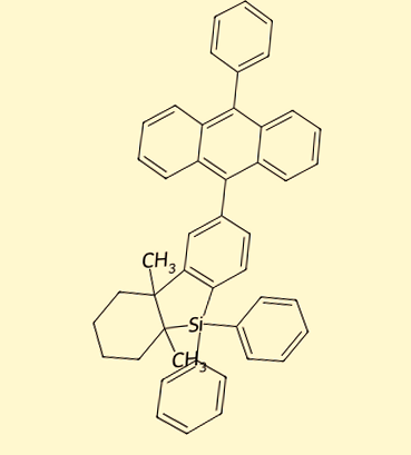 CC12CCCCC1(C)[Si](c1ccccc1)(c1ccccc1)c1ccc(-c3c4ccccc4c(-c4ccccc4)c4ccccc34)cc12